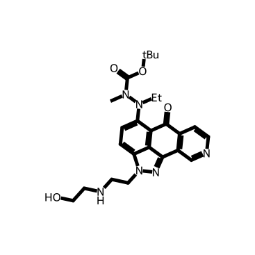 CCN(c1ccc2c3c(nn2CCNCCO)-c2cnccc2C(=O)c13)N(C)C(=O)OC(C)(C)C